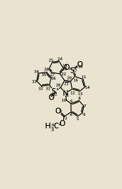 COC(=O)c1ccccc1CN1C2=CC=CC(=S(=O)=O)C2=C(c2ccccc2)C1[S+]([O-])c1ccccc1